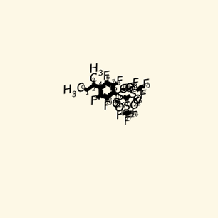 CCC(C)c1c(F)c(F)c(S(=O)(=O)C(S(=O)(=O)C(F)(F)F)S(=O)(=O)C(F)(F)F)c(F)c1F